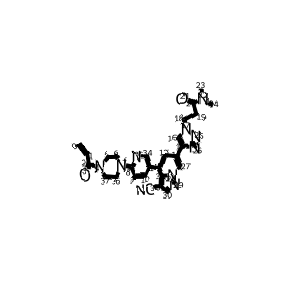 C#CC(=O)N1CCN(c2ccc(-c3cc(-c4cn(CCC(=O)N(C)C)nn4)cn4ncc(C#N)c34)cn2)CC1